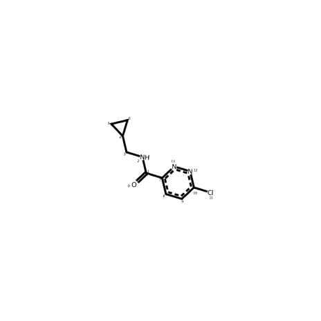 O=C(NCC1CC1)c1ccc(Cl)nn1